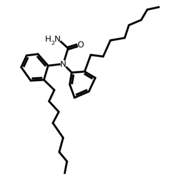 CCCCCCCCc1ccccc1N(C(N)=O)c1ccccc1CCCCCCCC